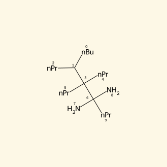 CCCCC(CCC)C(CCC)(CCC)C(N)(N)CCC